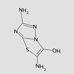 Nc1nc2sc(N)c(O)n2n1